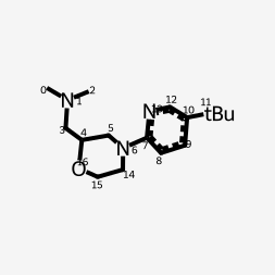 CN(C)CC1CN(c2ccc(C(C)(C)C)cn2)CCO1